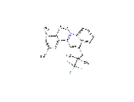 Cc1cc(C)c(C)c(-c2cc(CC(C)(C)C(F)(F)F)c3ccccc3[n+]2C)c1